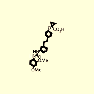 COc1ccc(NC(=O)Nc2cccc(CCc3ccc(OC4(C(=O)O)CC4)cc3)c2)c(OC)c1